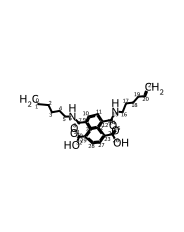 C=CCCCCNC(=O)c1ccc(C(=O)NCCCCC=C)c2c(C(=O)O)ccc(C(=O)O)c12